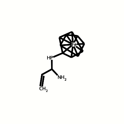 C=CC(N)P[C]12[CH]3[CH]4[CH]5[CH]1[Fe]45321678[CH]2[CH]1[CH]6[CH]7[CH]28